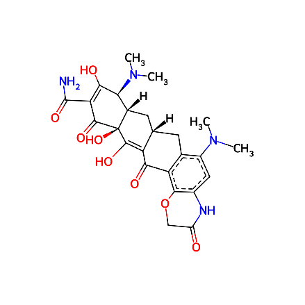 CN(C)c1cc2c(c3c1C[C@H]1C[C@H]4[C@H](N(C)C)C(O)=C(C(N)=O)C(=O)[C@@]4(O)C(O)=C1C3=O)OCC(=O)N2